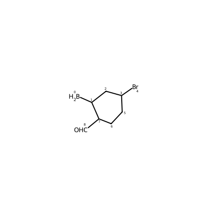 BC1CC(Br)CCC1C=O